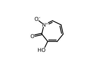 O=c1c(O)cccc[n+]1[O-]